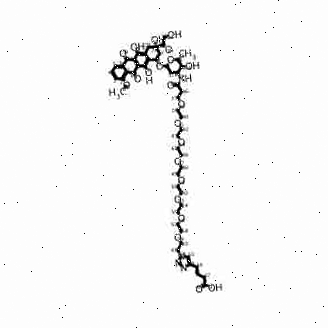 COc1cccc2c1C(=O)c1c(O)c3c(c(O)c1C2=O)C[C@@](O)(C(=O)CO)C[C@@H]3OC1C[C@H](NC(=O)CCOCCOCCOCCOCCOCCOCCOCCOCCn2cc(CCCC(=O)O)nn2)[C@H](O)[C@@H](C)O1